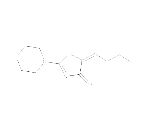 CCCC=C1SC(N2CCOCC2)=NC1=O